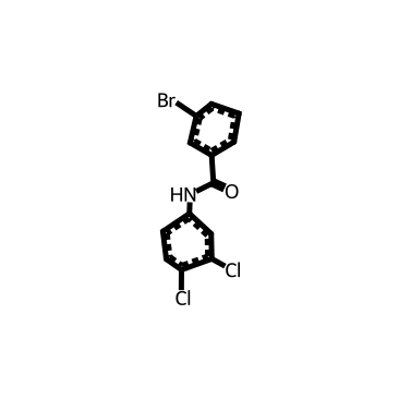 O=C(Nc1ccc(Cl)c(Cl)c1)c1cccc(Br)c1